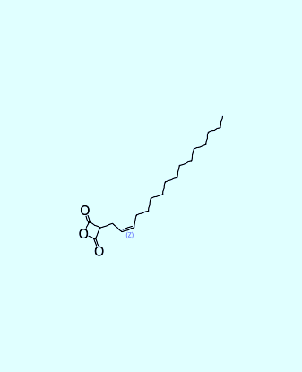 CCCCCCCCCCCCC/C=C\CC1C(=O)OC1=O